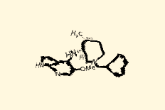 COc1cnc2[nH]ccc2c1N[C@H]1CN(Cc2ccccc2)CC[C@H]1C